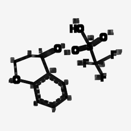 O=C1CCOc2ccccc21.O=S(=O)(O)C(F)(F)F